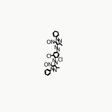 Cc1nn(C2=CCCC=C2)c(N=O)c1/N=N/c1cc(Cl)c(/N=N/c2c(C)nn(-c3ccccc3)c2N=O)c(Cl)c1